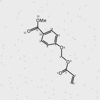 C=CC(=O)OCOc1ccc(C(=O)OC)cc1